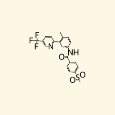 Cc1ccc(NC(=O)c2ccc(S(C)(=O)=O)cc2)cc1-c1ccc(C(F)(F)F)cn1